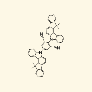 CC1(C)c2ccccc2-c2ccc3c(c21)c1ccccc1n3-c1cc(C#N)c(-n2c3ccccc3c3c4c(ccc32)-c2ccccc2C4(C)C)c(C#N)c1